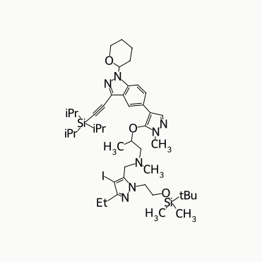 CCc1nn(CCO[Si](C)(C)C(C)(C)C)c(CN(C)CC(C)Oc2c(-c3ccc4c(c3)c(C#C[Si](C(C)C)(C(C)C)C(C)C)nn4C3CCCCO3)cnn2C)c1I